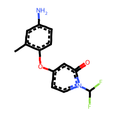 Cc1cc(N)ccc1Oc1ccn(C(F)F)c(=O)c1